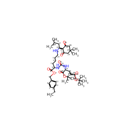 CCc1ccc(COC(=O)C(CCCCNC(CC(C)C)=C2C(=O)CC(C)(C)CC2=O)NC(=O)NC(CCC(=O)OC(C)(C)C)C(=O)OC(C)(C)C)cc1